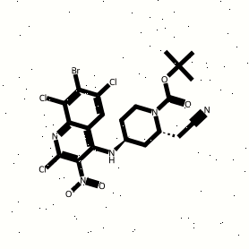 CC(C)(C)OC(=O)N1CC[C@H](Nc2c([N+](=O)[O-])c(Cl)nc3c(Cl)c(Br)c(Cl)cc23)C[C@H]1CC#N